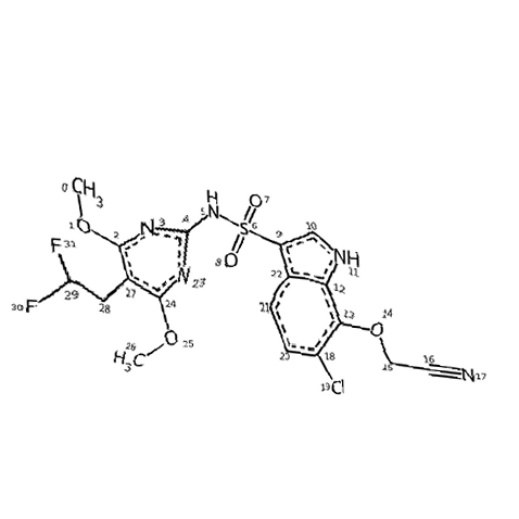 COc1nc(NS(=O)(=O)c2c[nH]c3c(OCC#N)c(Cl)ccc23)nc(OC)c1CC(F)F